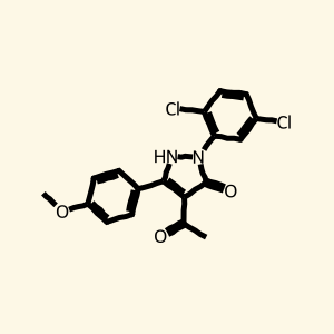 COc1ccc(-c2[nH]n(-c3cc(Cl)ccc3Cl)c(=O)c2C(C)=O)cc1